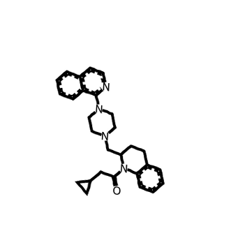 O=C(CC1CC1)N1c2ccccc2CCC1CN1CCN(c2nccc3ccccc23)CC1